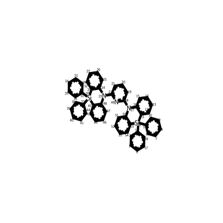 c1ccc([Si]2(c3ccccc3)c3ccccc3N(c3cccc(N4c5ccccc5[Si](c5ccccc5)(c5ccccc5)c5ccccc54)n3)c3ccccc32)cc1